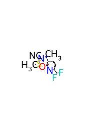 CC(c1ccc(C(F)F)nc1)[N+](C#N)=S(C)[O-]